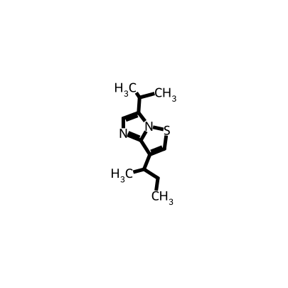 CCC(C)c1csn2c(C(C)C)cnc12